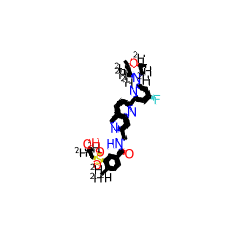 [2H]C([2H])(O)CS(=O)(=O)c1cc(C(=O)NCc2cc3nc(-c4cc(F)cc(N5C([2H])([2H])C([2H])(C)OC([2H])(C)C5([2H])[2H])n4)ccc3cn2)ccc1C([2H])([2H])[2H]